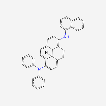 C1=CC(Nc2cccc3ccccc23)=C2C=CC3=CC=C(N(c4ccccc4)c4ccccc4)C4=CC=C1C2[C@@H]34